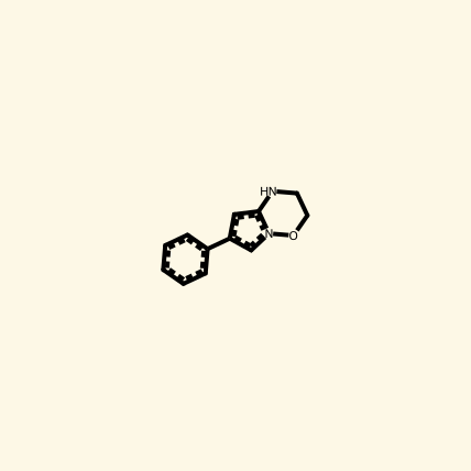 c1ccc(-c2cc3n(c2)OCCN3)cc1